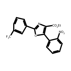 CCOC(=O)c1nc(-c2cccc(C(F)(F)F)c2)oc1-c1ccccc1[N+](=O)[O-]